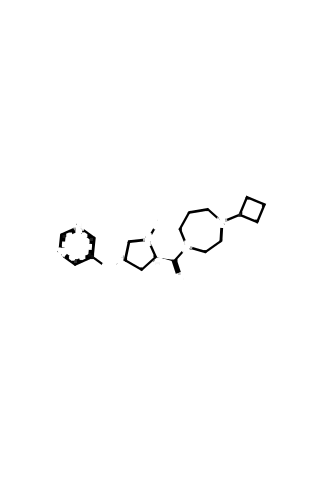 CC(=O)N1C[C@@H](Oc2cncnc2)C[C@@H]1C(=O)N1CCCN(C2CCC2)CC1